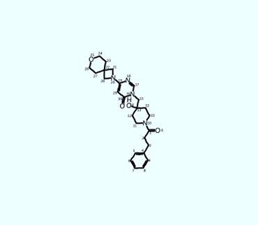 O=C(CCc1ccccc1)N1CCC(O)(Cn2cnc(N3CC4(CCOCC4)C3)cc2=O)CC1